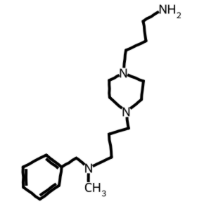 CN(CCCN1CCN(CCCN)CC1)Cc1ccccc1